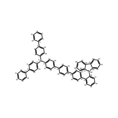 c1ccc(-c2ccc(N(c3ccc(-c4ccccc4)cc3)c3ccc(-c4ccc(-c5ccc(-c6ccccc6-n6c7ccccc7c7ccccc76)cc5)cc4)cc3)cc2)cc1